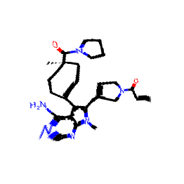 C=CC(=O)N1CC=C(c2c(C3=CC[C@](C)(C(=O)N4CCCC4)CC3)c3c(N)ncnc3n2C)C1